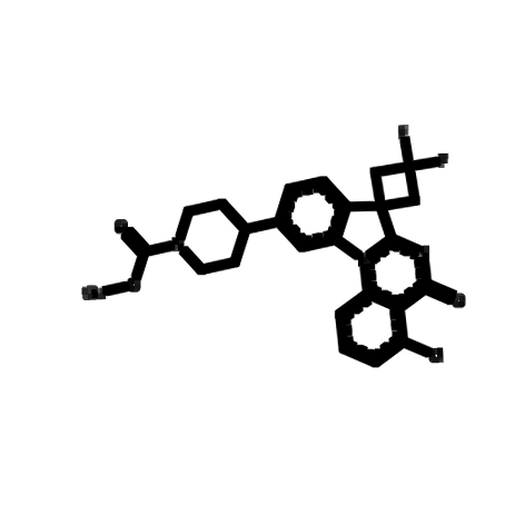 CC(C)(C)OC(=O)N1CCC(c2ccc3c(c2)-n2c(nc(=O)c4c(Cl)cccc42)C32CC(F)(F)C2)CC1